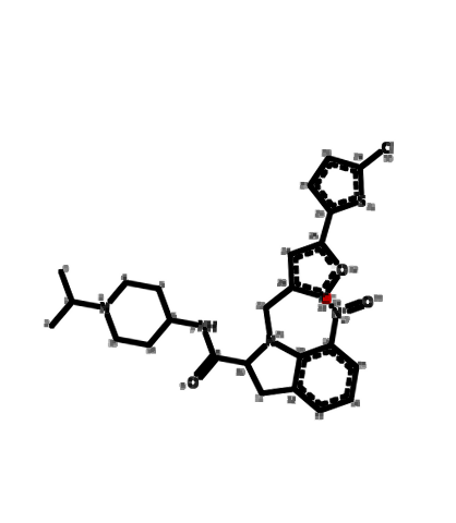 CC(C)N1CCC(NC(=O)C2Cc3cccc([N+](=O)[O-])c3N2Cc2cc(-c3ccc(Cl)s3)on2)CC1